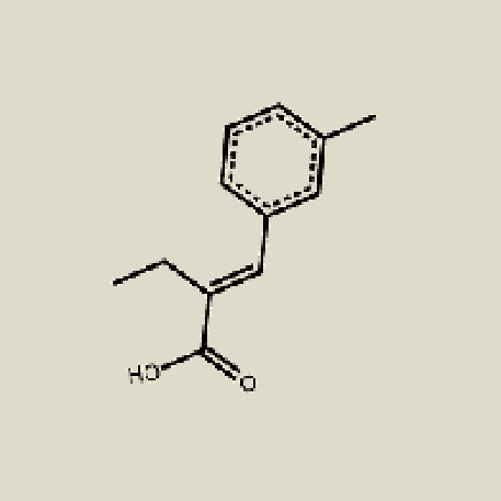 CC/C(=C\c1cccc(C)c1)C(=O)O